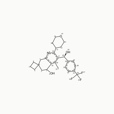 OC1CC2(CCC2)Cc2nc(C3CCOCC3)c([C@@H](O)c3ccc(C(F)(F)F)cc3)c(I)c21